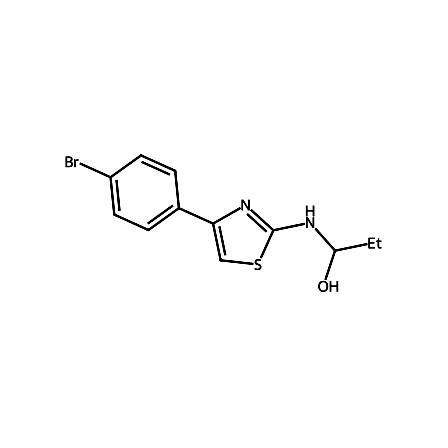 CCC(O)Nc1nc(-c2ccc(Br)cc2)cs1